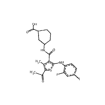 CC(=O)c1sc(Nc2ccc(I)cc2F)c(C(=O)NC2CCCN(C(=O)O)C2)c1C